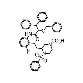 O=C(Nc1cccc(F)c1CCC1CN(C(=O)O)CCN1S(=O)(=O)c1ccccc1)C(OCc1ccccc1)C(c1ccccc1)c1ccccc1